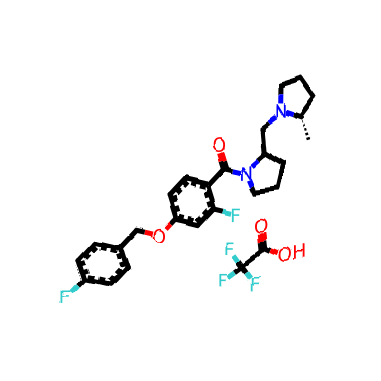 C[C@H]1CCCN1CC1CCCN1C(=O)c1ccc(OCc2ccc(F)cc2)cc1F.O=C(O)C(F)(F)F